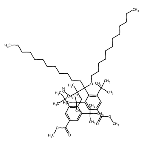 CCCCCCCCCCCCOC(CCCCCCCCCCCC)(c1c(C(C)(C)C)cc(C(=O)OC)cc1C(C)(C)C)C(C)(CO)Cc1c(C(C)(C)C)cc(C(=O)OC)cc1C(C)(C)C